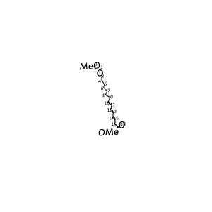 COCOCCCCCCCCCCCCCCC(=O)OC